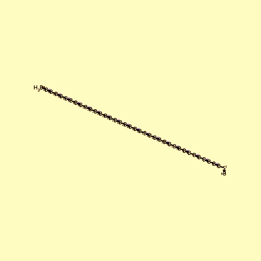 B#S\B=B/B=B\B=B/B=B\B=B/B=B\B=B/B=B\B=B/B=B\B=B/B=B\B=B/B=B\B=B/B=B\B=B/B=B\B